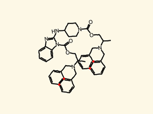 CC(COC(=O)N1CCC(Nc2nc3ccccc3n2C(=O)OCC(C)N(Cc2ccccc2)Cc2ccccc2)CC1)N(Cc1ccccc1)Cc1ccccc1